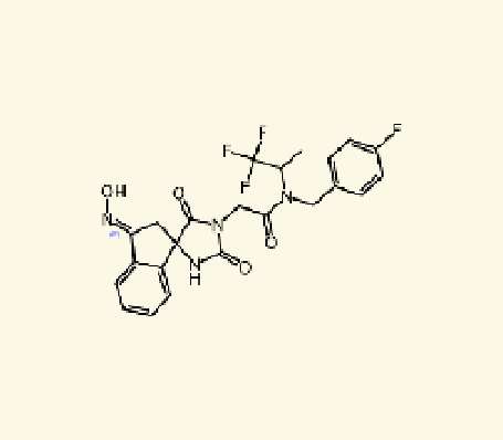 CC(N(Cc1ccc(F)cc1)C(=O)CN1C(=O)NC2(C/C(=N\O)c3ccccc32)C1=O)C(F)(F)F